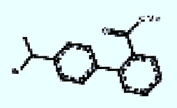 COC(=O)c1ccccc1-c1ccc(C(C)Br)cc1